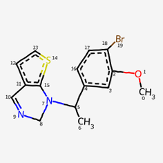 COc1cc(C(C)N2CN=Cc3ccsc32)ccc1Br